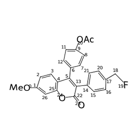 COc1ccc2c(-c3ccc(OC(C)=O)cc3)c(-c3ccc(CF)cc3)c(=O)oc2c1